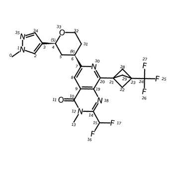 Cn1cc([C@@H]2C[C@H](c3cc4c(=O)n(C)c(C(F)F)nc4c(C45CC(C(F)(F)F)(C4)C5)n3)CCO2)cn1